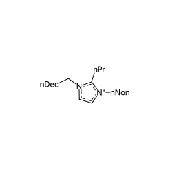 CCCCCCCCCCCn1cc[n+](CCCCCCCCC)c1CCC